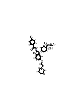 CNC(=O)[C@]1(O)CC[C@H](n2/c(=N/C(=O)c3ccc(F)cc3)[nH]c3cnc(OCCN4CCCCC4)cc32)CC1